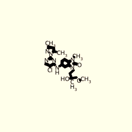 COCC(C)(O)CCn1c(=O)n(C)c2ccc(Nc3nc(-n4nc(C)cc4C)ncc3Cl)cc21